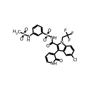 CS(=O)(=O)Nc1cccc(S(=O)(=O)NC(=O)c2c(-c3ccc[nH]c3=O)c3cc(Cl)ccc3n2CC(F)(F)F)c1